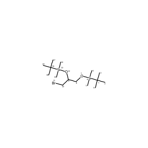 CC(C)(C)[Si](C)(C)OCC(CBr)O[Si](C)(C)C(C)(C)C